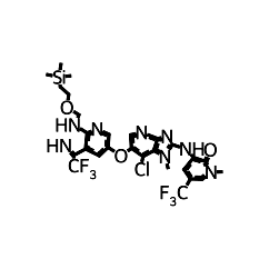 Cn1cc(C(F)(F)F)cc(Nc2nc3ncc(Oc4cnc(NCOCC[Si](C)(C)C)c(C(=N)C(F)(F)F)c4)c(Cl)c3n2C)c1=O